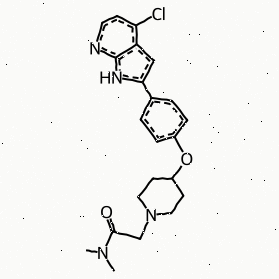 CN(C)C(=O)CN1CCC(Oc2ccc(-c3cc4c(Cl)ccnc4[nH]3)cc2)CC1